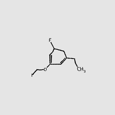 CCC1=CC(OCI)=CC(F)C1